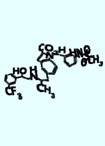 CC(Cc1ccc2c(c1)cc(C(=O)O)n2Cc1cccc(NS(C)(=O)=O)c1)NCC(O)c1cccc(C(F)(F)F)c1